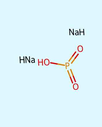 O=P(=O)O.[NaH].[NaH]